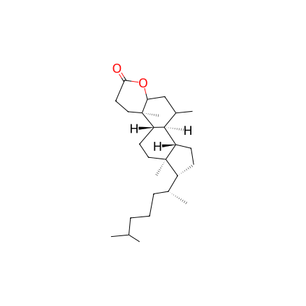 CC(C)CCC[C@@H](C)[C@H]1CC[C@H]2[C@@H]3C(C)CC4OC(=O)CC[C@]4(C)[C@H]3CC[C@]12C